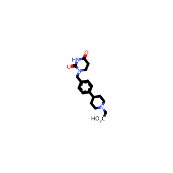 O=C(O)CN1CCC(c2ccc(CN3CCC(=O)NC3=O)cc2)CC1